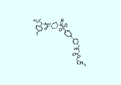 CCOC(=O)CNCc1ccc(-c2ccc(S(=O)(=O)N[C@H]3CC[C@H](C(=O)N[C@H](C)c4ccc(F)cc4)CC3)cc2)cc1